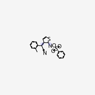 Cc1ccccc1/C(C#N)=C1\C=CS\C1=N/OS(=O)(=O)c1ccccc1